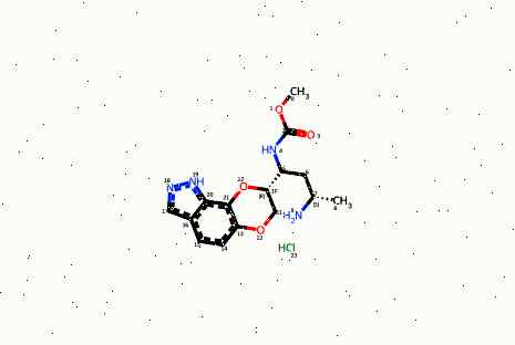 COC(=O)NC(C[C@H](C)N)[C@@H]1COc2ccc3cn[nH]c3c2O1.Cl